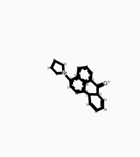 O=C1c2cccc3c(N4CCCC4)ccc(c23)C2C=CC=CC12